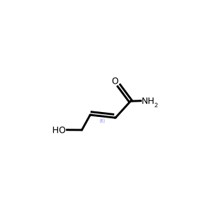 NC(=O)/C=C/CO